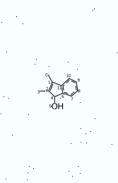 CC1=C(C)C(O)c2ccccc21